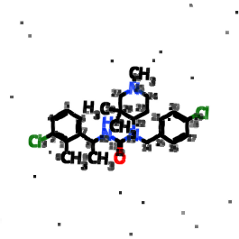 Cc1c(Cl)cccc1C(C)NC(=O)N(Cc1ccc(Cl)cc1)C1CCN(C)CC1(C)C